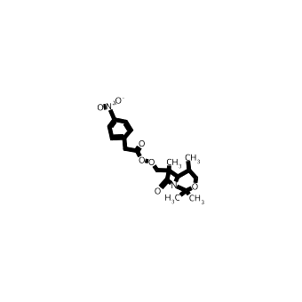 CC1COC(C)(C)N2C(=O)C(C)(COOC(=O)Cc3ccc([N+](=O)[O-])cc3)C12